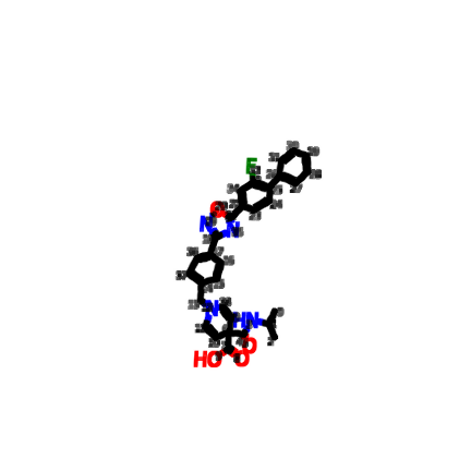 CC(C)NC(=O)C1(C(=O)O)C=CN(Cc2ccc(-c3noc(-c4ccc(-c5ccccc5)c(F)c4)n3)cc2)C=C1